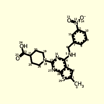 Cc1cc2c(NCc3cccc([N+](=O)[O-])c3)nc(N3CCC(C(=O)O)CC3)nc2s1